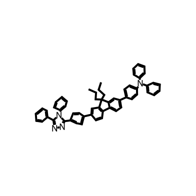 CCCC1(CCC)c2cc(-c3ccc(-c4nnc(-c5ccccc5)n4-c4ccccc4)cc3)ccc2-c2ccc(-c3ccc(N(c4ccccc4)c4ccccc4)cc3)cc21